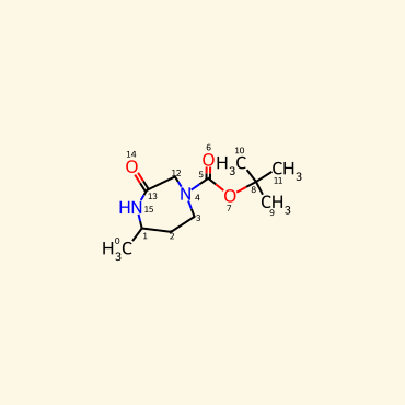 CC1CCN(C(=O)OC(C)(C)C)CC(=O)N1